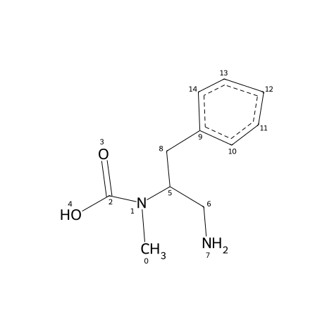 CN(C(=O)O)C(CN)Cc1ccccc1